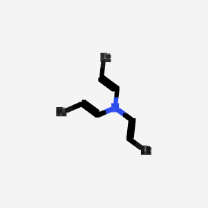 CCC=CN(C=CCC)C=CCC